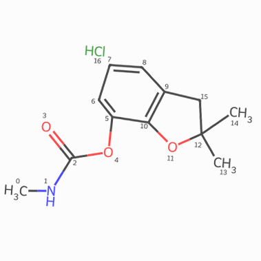 CNC(=O)Oc1cccc2c1OC(C)(C)C2.Cl